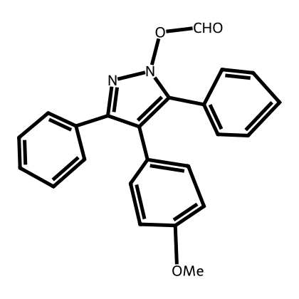 COc1ccc(-c2c(-c3ccccc3)nn(OC=O)c2-c2ccccc2)cc1